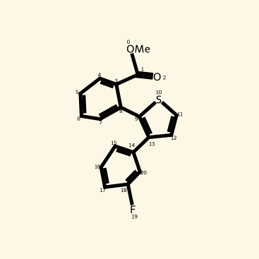 COC(=O)c1ccccc1-c1sccc1-c1cccc(F)c1